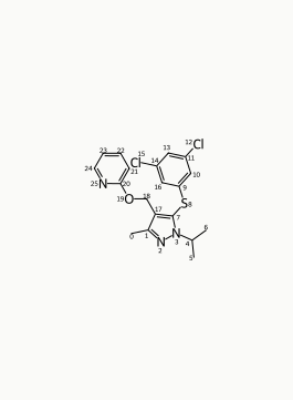 Cc1nn(C(C)C)c(Sc2cc(Cl)cc(Cl)c2)c1COc1ccccn1